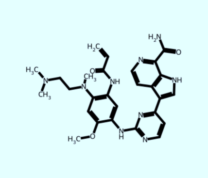 C=CC(=O)Nc1cc(Nc2nccc(-c3c[nH]c4c(C(N)=O)nccc34)n2)c(OC)cc1N(C)CCN(C)C